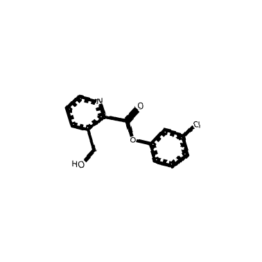 O=C(Oc1cccc(Cl)c1)c1ncccc1CO